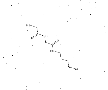 CCSCCCNC(=O)CNC(=O)CN